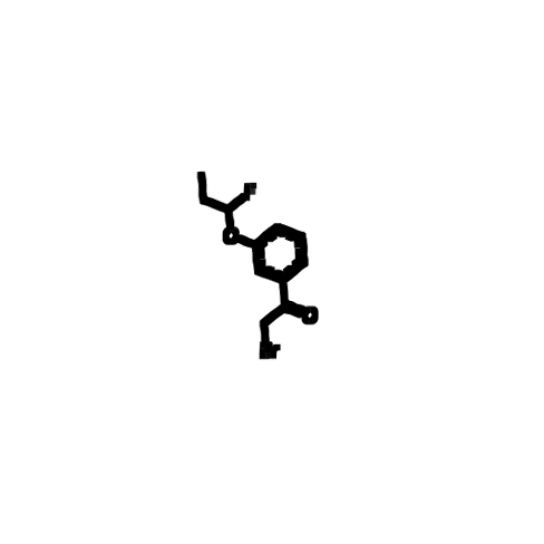 CCC(F)Oc1cccc(C(=O)CBr)c1